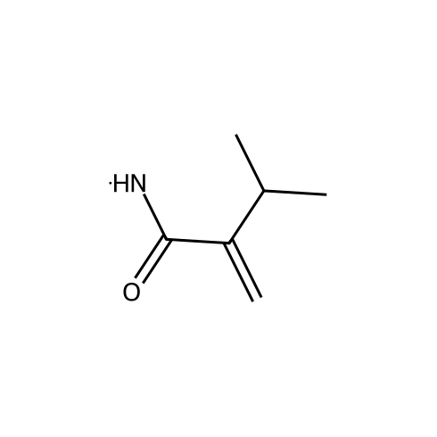 C=C(C([NH])=O)C(C)C